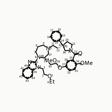 CCOCCn1c(N2CCCN(CC[C@]3(c4ccccc4)CCN(C(=O)c4cc(OCCOC)ccc4OC)C3)CC2)nc2ccccc21